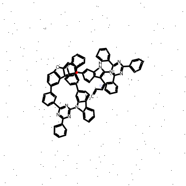 C=C/C=C\c1c(-[n+]2c(-c3ccccc3)nc(-c3ccccc3)nc2-c2ccccc2)[nH]c2cc(-c3ccc4oc5ccc(-c6cccc(-c7nc(-c8ccccc8)nc(-n8c9ccccc9c9ccc(-c%10ccc%11oc%12ccccc%12c%11c%10)cc98)n7)c6)cc5c4c3)ccc12